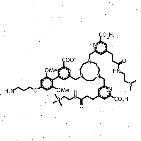 COc1cc(OCCCN)cc(OC)c1-c1cc(CN2CCN(Cc3cc(CCC(=O)NCCN(C)C)cc(C(=O)O)n3)CCN(Cc3cc(CCC(=O)NCC[N+](C)(C)C)cc(C(=O)O)n3)CC2)nc(C(=O)[O-])c1